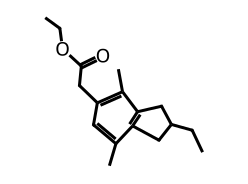 CCOC(=O)Cc1cc(C)c2c(c1C)CC(CC)C2